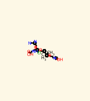 Cc1c(COc2cc(OCc3cncc(C#N)c3)c(CNCCC(=O)O)cc2Cl)cccc1-c1cccc(OCCCN2CCC(O)C2)c1C